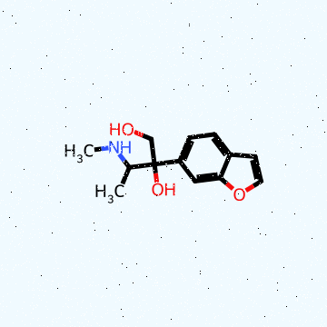 CNC(C)C(O)(CO)c1ccc2ccoc2c1